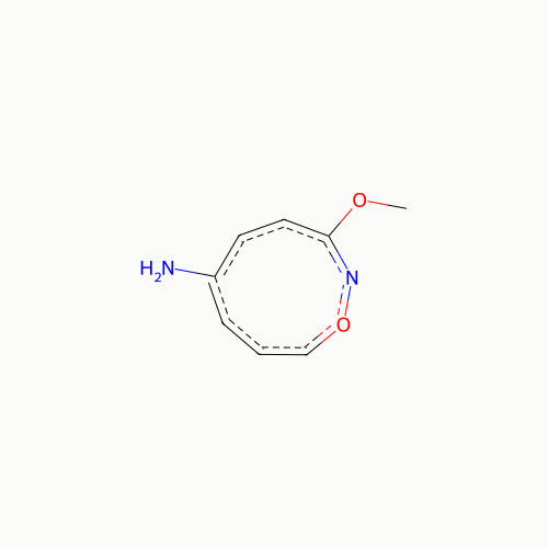 COc1ccc(N)cccon1